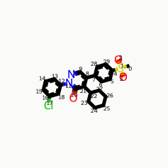 CS(=O)(=O)c1ccc(-c2cnn(-c3cccc(Cl)c3)c(=O)c2C2CCCCC2)cc1